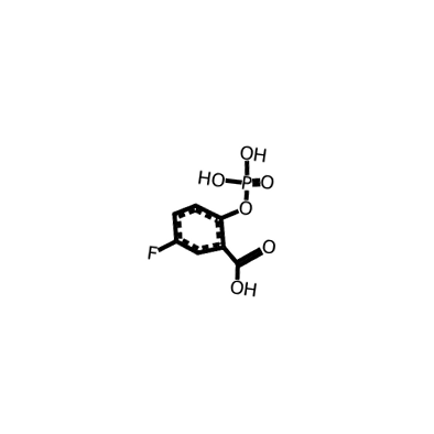 O=C(O)c1cc(F)ccc1OP(=O)(O)O